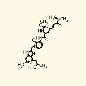 COC(=O)NC(CC/C=C/C(=O)N(C)C)C(=O)Nc1cccn(Cc2nc3c(CC(C)C)nc(C)cc3[nH]2)c1=O